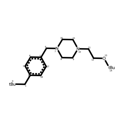 CC(C)(C)Cc1ccc(CN2CCN(CCOC(C)(C)C)CC2)cc1